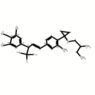 CCC(C)CSC1(c2ccc(/C=C/C(c3cc(Cl)c(Cl)c(Cl)c3)C(F)(F)F)cc2C)CC1